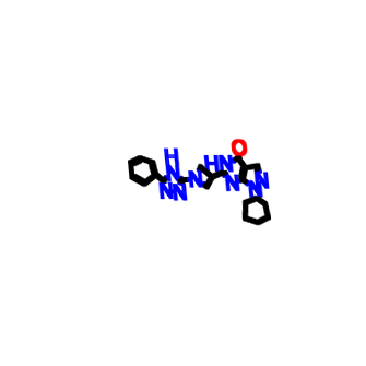 O=c1[nH]c(C2CN(c3nnc(-c4ccccc4)[nH]3)C2)nc2c1cnn2C1CCCCC1